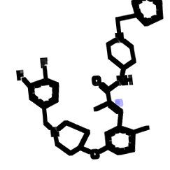 C/C(=C\c1cc(OC2CCN(Cc3ccc(F)c(F)c3)CC2)ccc1C)C(=O)NC1CCN(Cc2ccccc2)CC1